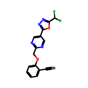 C#Cc1ccccc1OCc1ncc(-c2nnc(C(F)F)o2)cn1